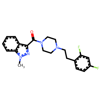 Cn1nc(C(=O)N2CCN(CCc3ccc(F)cc3F)CC2)c2ccccc21